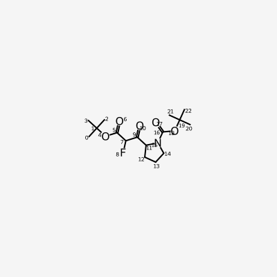 CC(C)(C)OC(=O)C(F)C(=O)C1CCCN1C(=O)OC(C)(C)C